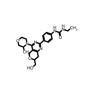 CCNC(=O)Nc1ccc(-c2nc3c(c(N4CCOCC4C)n2)COC(CO)C3)cc1